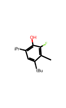 Cc1c(C(C)(C)C)cc(C(C)C)c(O)c1F